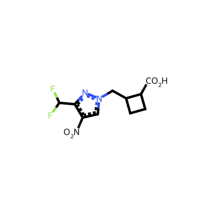 O=C(O)C1CCC1Cn1cc([N+](=O)[O-])c(C(F)F)n1